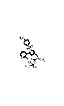 Cc1ccc(S(=O)(=O)n2cc(CN(C)C(=O)OC(C)(C)C)cc2-c2cccnc2F)cn1